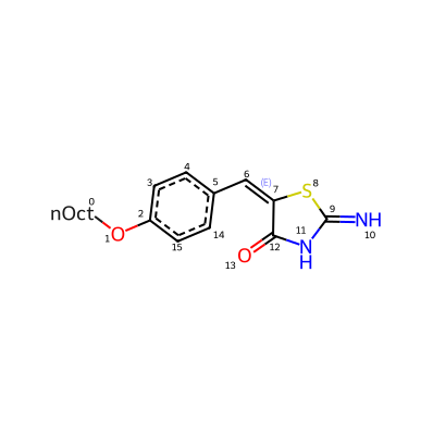 CCCCCCCCOc1ccc(/C=C2/SC(=N)NC2=O)cc1